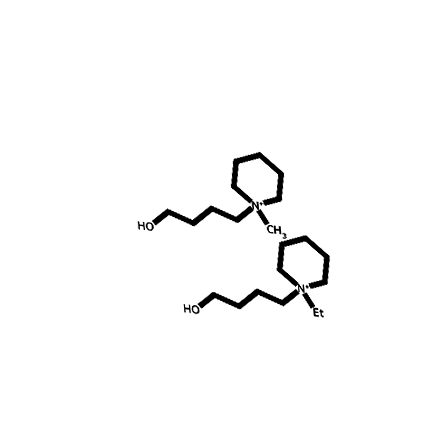 CC[N+]1(CCCCO)CCCCC1.C[N+]1(CCCCO)CCCCC1